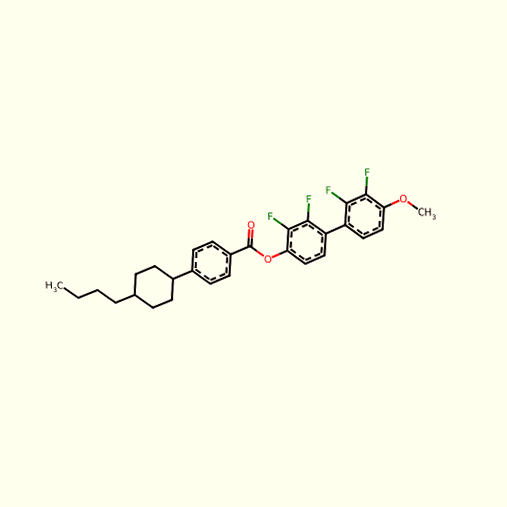 CCCCC1CCC(c2ccc(C(=O)Oc3ccc(-c4ccc(OC)c(F)c4F)c(F)c3F)cc2)CC1